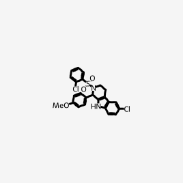 COc1ccc(C2c3[nH]c4ccc(Cl)cc4c3CCN2S(=O)(=O)c2ccccc2Cl)cc1